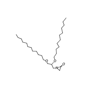 CCCCCCCCCCCCOCC(CN1CC1=O)OCCCCCCCCCCCC